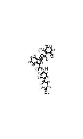 CCN1CCC(c2ccc(NC(=O)c3nn(OC(C)c4c(Cl)cncc4Cl)c4ccccc34)cc2)CC1